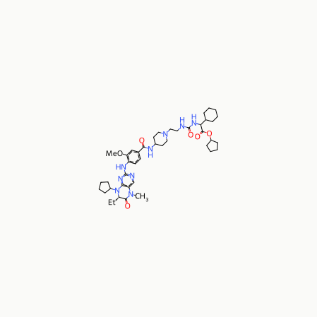 CC[C@@H]1C(=O)N(C)c2cnc(Nc3ccc(C(=O)NC4CCN(CCNC(=O)N[C@H](C(=O)OC5CCCC5)C5CCCCC5)CC4)cc3OC)nc2N1C1CCCC1